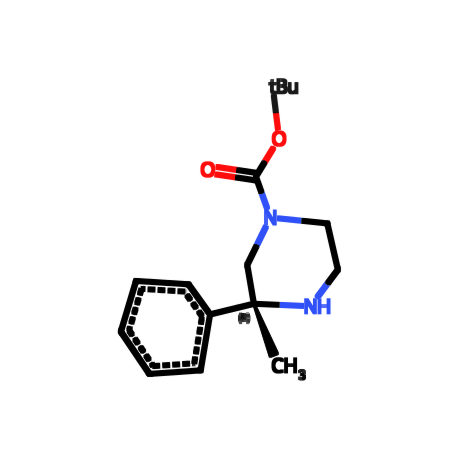 CC(C)(C)OC(=O)N1CCN[C@](C)(c2ccccc2)C1